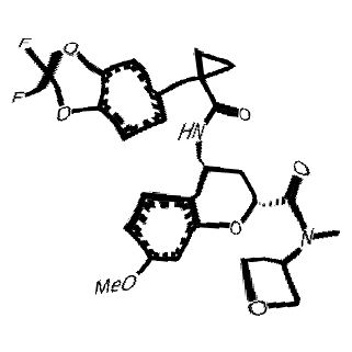 COc1ccc2c(c1)O[C@@H](C(=O)N(C)C1COC1)C[C@@H]2NC(=O)C1(c2ccc3c(c2)OC(F)(F)O3)CC1